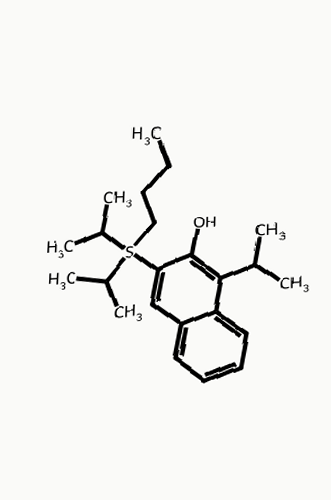 CCCCS(c1cc2ccccc2c(C(C)C)c1O)(C(C)C)C(C)C